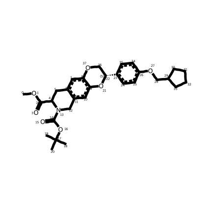 COC(=O)C1Cc2cc3c(cc2CN1C(=O)OC(C)(C)C)O[C@@H](c1ccc(OCC2CCCC2)cc1)CO3